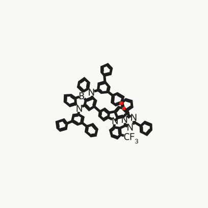 FC(F)(F)c1cccc(-n2c3ccccc3c3cc(-c4cc5c6c(c4)N(c4cc(-c7ccccc7)cc(-c7ccccc7)c4)c4ccccc4B6c4ccccc4N5c4cc(-c5ccccc5)cc(-c5ccccc5)c4)ccc32)c1-c1nc(-c2ccccc2)nc(-c2ccccc2)n1